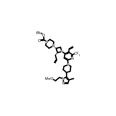 C=CC[C@H]1[C@H](N2CCN(C(=O)OC(C)(C)C)CC2)CN1c1cc(N2CCC(c3c(C)cnn3CCOC)CC2)nc(C(F)(F)F)c1C=C